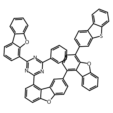 c1ccc(-c2nc(-c3cccc4c3oc3ccccc34)nc(-c3cccc4oc5ccc(-c6ccc(-c7ccc8c(c7)sc7ccccc78)c7oc8ccccc8c67)cc5c34)n2)cc1